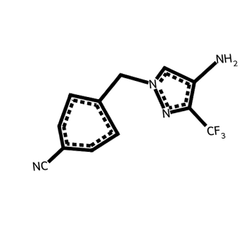 N#Cc1ccc(Cn2cc(N)c(C(F)(F)F)n2)cc1